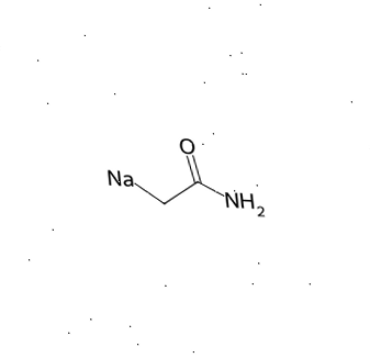 NC(=O)[CH2][Na]